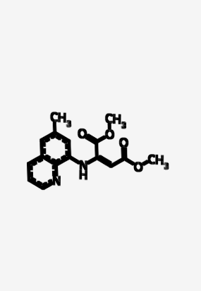 COC(=O)C=C(Nc1cc(C)cc2cccnc12)C(=O)OC